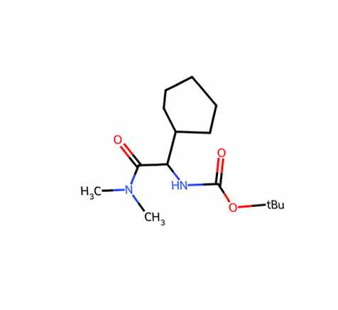 CN(C)C(=O)C(NC(=O)OC(C)(C)C)C1CCCCC1